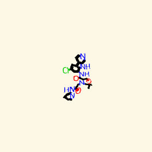 CC1(C)CN(CC(=O)Nc2ccccn2)C(C(=O)Nc2cc(Cl)cc3c2[nH]c2cnccc23)CO1